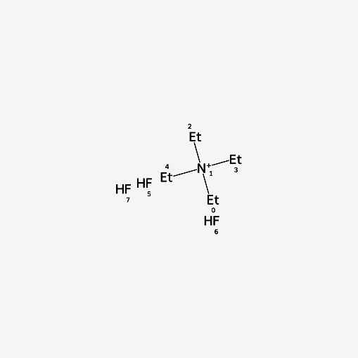 CC[N+](CC)(CC)CC.F.F.F